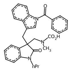 CCCN1C(=O)C(Cc2cn(C(=O)c3ccccc3)c3ccccc23)(CN(C)C(=O)O)c2ccccc21